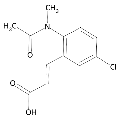 CC(=O)N(C)c1ccc(Cl)cc1C=CC(=O)O